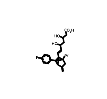 C=C1CC2(C(C)C)CC1C(c1ccc(F)cc1)=C2C=CC(O)CC(O)CC(=O)O